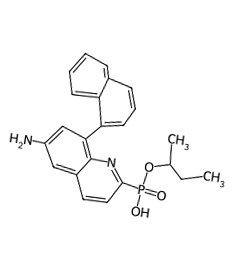 CCC(C)OP(=O)(O)c1ccc2cc(N)cc(-c3cccc4ccccc34)c2n1